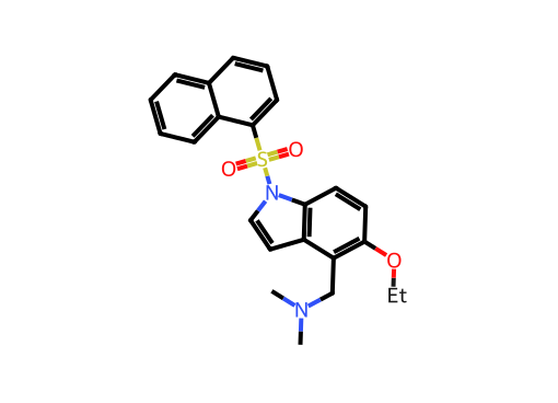 CCOc1ccc2c(ccn2S(=O)(=O)c2cccc3ccccc23)c1CN(C)C